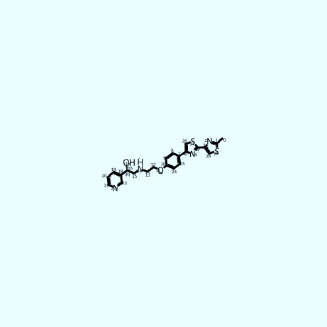 Cc1nc(-c2nc(-c3ccc(OCCNC[C@H](O)c4cccnc4)cc3)cs2)cs1